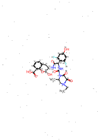 CCN1CC(C)N(C(=O)NC(C(=O)N[C@H]2Cc3cccc(C(=O)O)c3OB2O)c2c(F)cc(O)cc2F)C(=O)C1=O